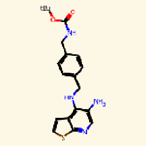 CC(C)(C)OC(=O)NCc1ccc(CNc2c(N)cnc3sccc23)cc1